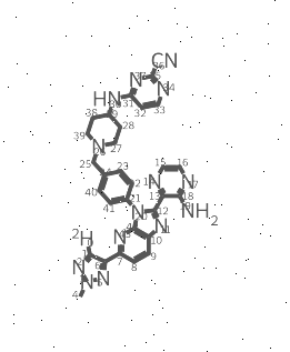 [2H]c1nn(C)nc1-c1ccc2nc(-c3nccnc3N)n(-c3ccc(CN4CCC(Nc5ccnc(C#N)n5)CC4)cc3)c2n1